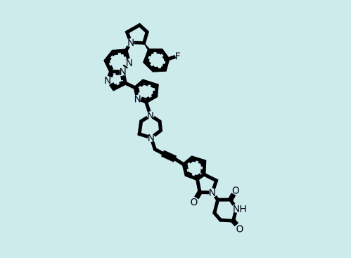 O=C1CCC(N2Cc3ccc(C#CCN4CCN(c5cccc(-c6cnc7ccc(N8CCC[C@H]8c8cccc(F)c8)nn67)n5)CC4)cc3C2=O)C(=O)N1